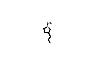 CN1CCC(CCI)C1